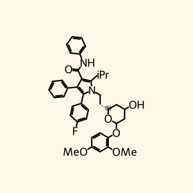 COc1ccc(OC2CC(O)C[C@@H](CCn3c(-c4ccc(F)cc4)c(-c4ccccc4)c(C(=O)Nc4ccccc4)c3C(C)C)O2)c(OC)c1